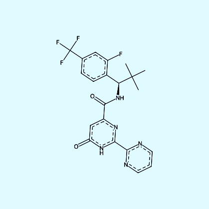 CC(C)(C)[C@@H](NC(=O)c1cc(=O)[nH]c(-c2ncccn2)n1)c1ccc(C(F)(F)F)cc1F